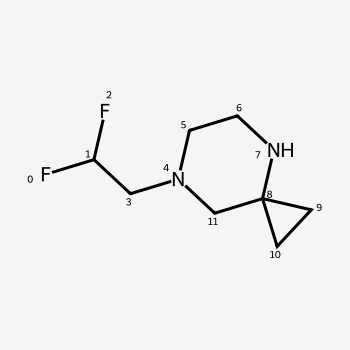 FC(F)CN1CCNC2(CC2)C1